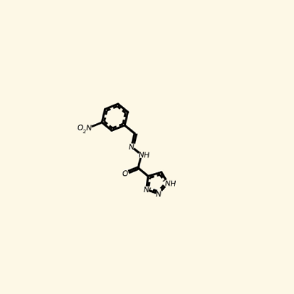 O=C(NN=Cc1cccc([N+](=O)[O-])c1)c1c[nH]nn1